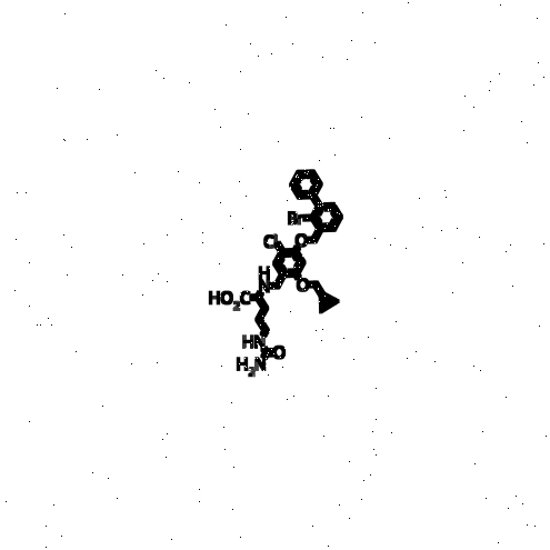 NC(=O)NCCCC(NCc1cc(Cl)c(OCc2cccc(-c3ccccc3)c2Br)cc1OCC1CC1)C(=O)O